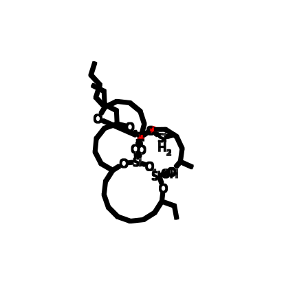 CCCCC1CCCCC2CCCCCCCC(CC)O[Si]3(O)OC(C)CCCCC4CCCCC(CCCC)O[Si](O[SiH2]C)(O1)O[Si](O2)(O4)O3